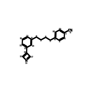 N#Cc1ccc(CCCCc2cccc(C3=CN=C3)c2)cc1